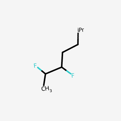 CC(C)CCC(F)C(C)F